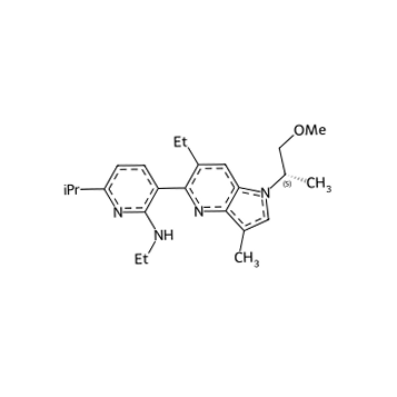 CCNc1nc(C(C)C)ccc1-c1nc2c(C)cn([C@@H](C)COC)c2cc1CC